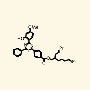 COc1ccc(-c2nc(-c3ccccc3)nc(-c3ccc(C(=O)OCC(CCCCC(C)C)CCC(C)C)cc3)n2)c(O)c1